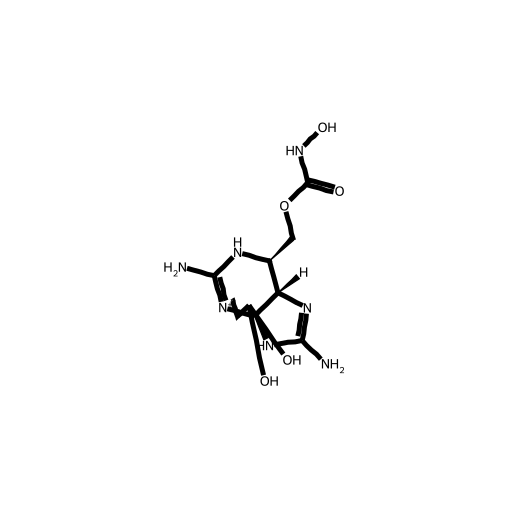 NC1=N[C@H]2[C@H](COC(=O)NO)NC(N)=[N+]3CCC(O)(O)[C@]23N1